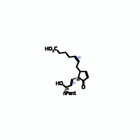 CCCCC[C@H](O)/C=C/[C@H]1C(=O)C=CC1C/C=C\CCCC(=O)O